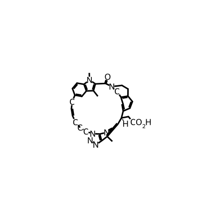 Cc1c2n(C)c3ccc(cc13)C/C=C\CCCn1nnc3c(C)c(cnc31)[C@H](CC(=O)O)c1ccc3c(c1)CN(CC3)C2=O